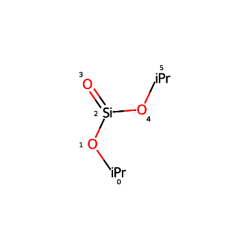 CC(C)O[Si](=O)OC(C)C